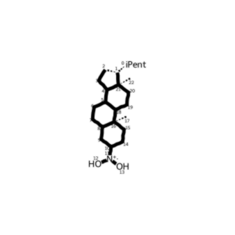 CCC[C@@H](C)[C@H]1CCC2C3CCC4CC([N+](O)O)CC[C@]4(C)C3CC[C@@]21C